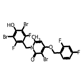 Cc1cc(OCc2ccc(F)cc2F)c(Br)c(=O)n1Cc1c(F)c(Br)c(O)c(Br)c1F